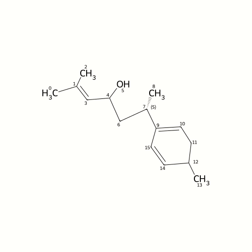 CC(C)=CC(O)C[C@H](C)C1=CCC(C)C=C1